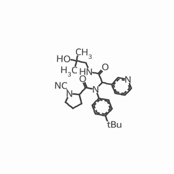 CC(C)(O)CNC(=O)C(c1cccnc1)N(C(=O)C1CCCN1C#N)c1ccc(C(C)(C)C)cc1